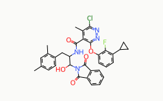 Cc1ccc(CC(NC(=O)c2c(Oc3cccc(C4CC4)c3F)nnc(Cl)c2C)C(O)N2C(=O)c3ccccc3C2=O)c(C)c1